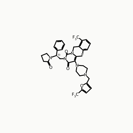 Cc1c(N2CCN(Cc3ccc(C(F)(F)F)o3)CC2)c(=O)n(C[C@H](c2ccccc2)N2CCCC2=O)c(=O)n1Cc1c(F)cccc1C(F)(F)F